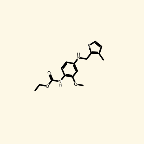 CCOC(=O)Nc1ccc(NCc2sccc2C)cc1OC